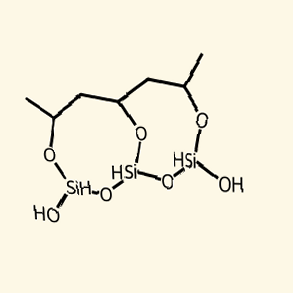 CC1CC2CC(C)O[SiH](O)O[SiH](O2)O[SiH](O)O1